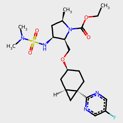 CCOC(=O)N1[C@H](C)C[C@H](NS(=O)(=O)N(C)C)[C@@H]1CO[C@H]1CC[C@@]2(c3ncc(F)cn3)C[C@H]2C1